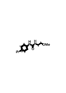 COCCNC(=O)Nc1ccc(C(C)C)cc1